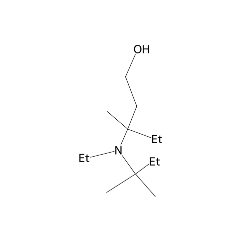 CCN(C(C)(C)CC)C(C)(CC)CCO